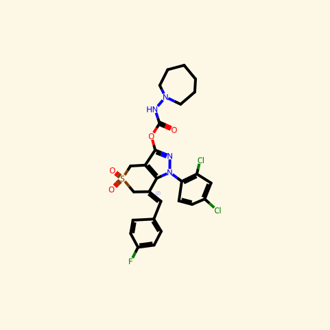 O=C(NN1CCCCCC1)Oc1nn(-c2ccc(Cl)cc2Cl)c2c1CS(=O)(=O)C/C2=C\c1ccc(F)cc1